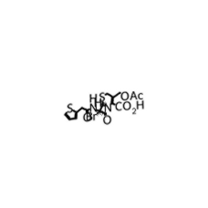 CC(=O)OCC1=C(C(=O)O)N2C(=O)[C@](Br)(NC(=O)Cc3cccs3)[C@H]2SC1